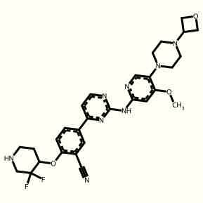 COc1cc(Nc2nccc(-c3ccc(OC4CCNCC4(F)F)c(C#N)c3)n2)ncc1N1CCN(C2COC2)CC1